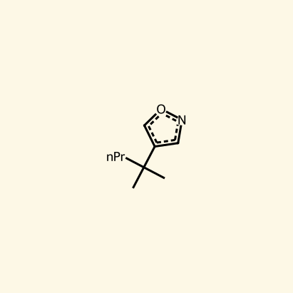 CCCC(C)(C)c1cnoc1